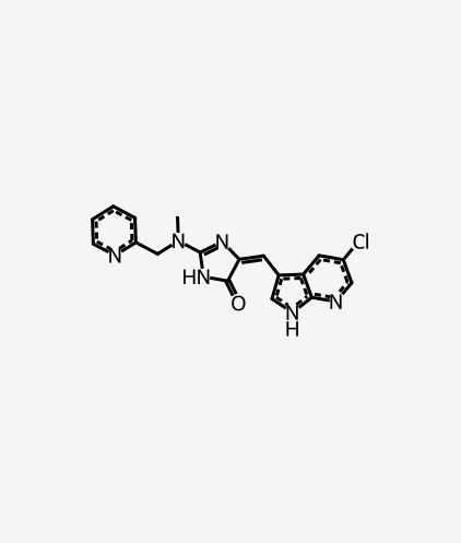 CN(Cc1ccccn1)C1=NC(=Cc2c[nH]c3ncc(Cl)cc23)C(=O)N1